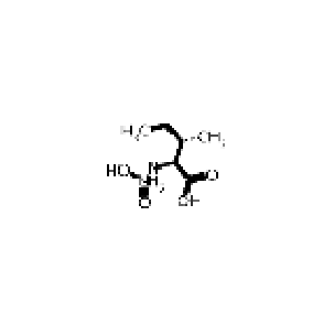 CC[C@H](C)[C@H](N)C(=O)O.O=NO